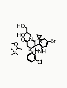 CC1([C@H]2N(CC(O)CO)C(=O)C[C@@H](c3cccc(Cl)c3)[C@]23C(=O)Nc2cc(Br)ccc23)CC1.COC(C)[Si](C)(C)C